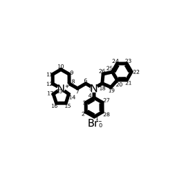 [Br-].c1ccc(N(CCC2CCCC[N+]23CCCC3)C2Cc3ccccc3C2)cc1